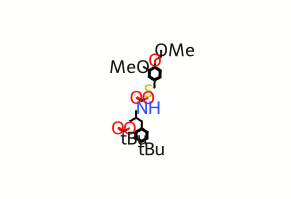 COCOc1ccc(CSOC(=O)NCC(COC(=O)C(C)(C)C)Cc2ccc(C(C)(C)C)cc2)cc1OC